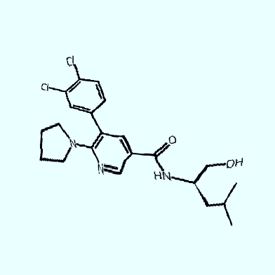 CC(C)C[C@H](CO)NC(=O)c1cnc(N2CCCC2)c(-c2ccc(Cl)c(Cl)c2)c1